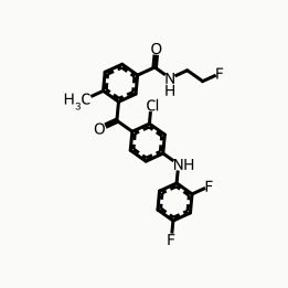 Cc1ccc(C(=O)NCCF)cc1C(=O)c1ccc(Nc2ccc(F)cc2F)cc1Cl